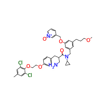 COCCCc1cc(CN(C(=O)C(CN)Cc2ccc(OCCOc3c(Cl)cc(C)cc3Cl)cc2)C2CC2)cc(OCc2ccc[n+]([O-])c2)c1